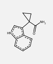 NC(=O)C1(c2c[nH]c3ccccc23)CC1